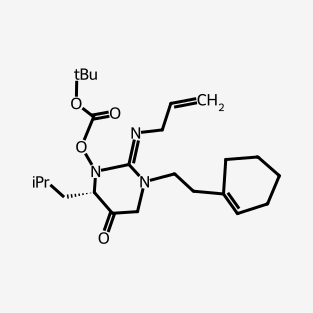 C=CCN=C1N(CCC2=CCCCC2)CC(=O)[C@H](CC(C)C)N1OC(=O)OC(C)(C)C